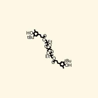 CCC(C)(COC(=O)CCc1cc(C)c(O)c(C(C)(C)C)c1)C1OCC2(CO1)COC(C(C)(CC)COC(=O)CCc1cc(C)c(O)c(C(C)(C)C)c1)OC2